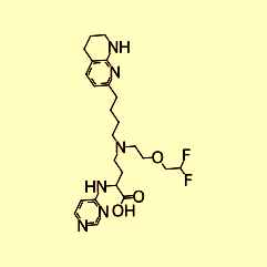 O=C(O)C(CCN(CCCCc1ccc2c(n1)NCCC2)CCOCC(F)F)Nc1ccncn1